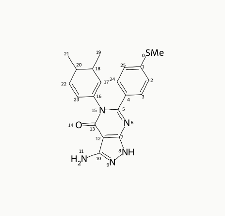 CSc1ccc(-c2nc3[nH]nc(N)c3c(=O)n2C2=CC(C)C(C)C=C2)cc1